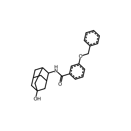 O=C(NC1C2CC3CC1CC(O)(C3)C2)c1cccc(OCc2ccccc2)c1